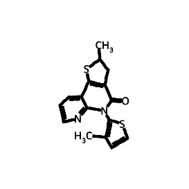 Cc1ccsc1-n1c(=O)c2c(c3cccnc31)SC(C)C2